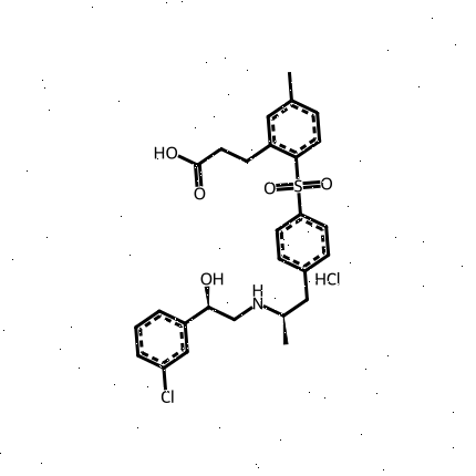 Cc1ccc(S(=O)(=O)c2ccc(C[C@@H](C)NC[C@H](O)c3cccc(Cl)c3)cc2)c(CCC(=O)O)c1.Cl